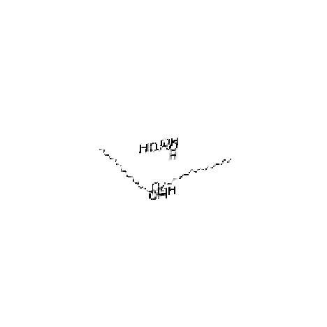 CCCCCCCCCCCCCCCCCC(O)OC(O)CCCCCCCCCCCCCCCCC.OCC(O)CO